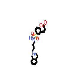 O=c1ccc2cc(S(=O)(=O)NCCCCN3CCc4ccccc4C3)ccc2o1